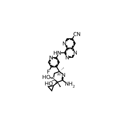 C[C@@]1(c2cc(Nc3ncnc4cc(C#N)cnc34)ncc2F)CS(O)(O)[C@@](C)(C2CC2)C(N)=N1